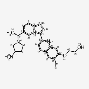 NC1CCN([C@H](c2ccc3nnc(-c4ccc5cc(F)c(OCCO)cc5n4)n3c2)C(F)(F)F)C1